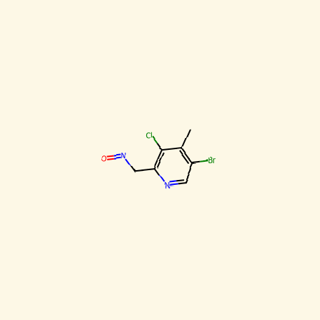 Cc1c(Br)cnc(CN=O)c1Cl